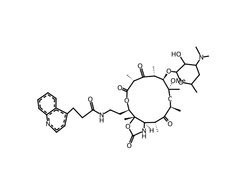 CO[C@]1(C)C[C@@H](C)C(=O)[C@H](C)[C@H]2NC(=O)O[C@]2(C)[C@@H](CCNC(=O)CCc2ccnc3ccccc23)OC(=O)[C@H](C)C(=O)[C@H](C)[C@H]1OC1OC(C)CC(N(C)C)C1O